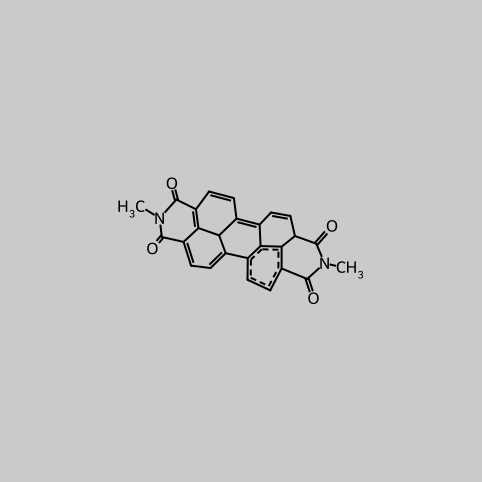 CN1C(=O)C2=CC=C3c4ccc5c6c4C(=C4C=CC(=C2C34)C1=O)C=CC6C(=O)N(C)C5=O